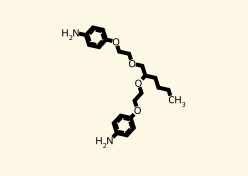 CCCCC(COCCOc1ccc(N)cc1)OCCOc1ccc(N)cc1